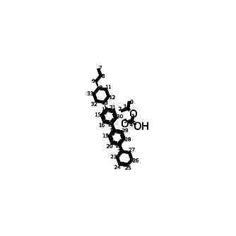 CC(C)OC(=O)O.CCC[C@H]1CC[C@H](c2ccc(-c3ccc(C4CC=CCC4)cc3)cc2)CC1